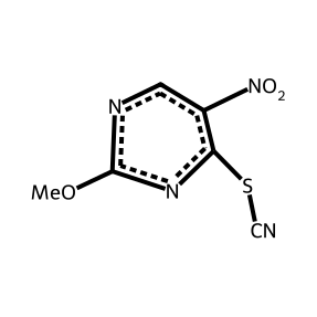 COc1ncc([N+](=O)[O-])c(SC#N)n1